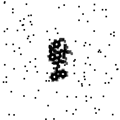 Cc1ccc(S(=O)(=O)Oc2cccc(C(CC(=O)OC(C)(C)C)C(N)C(=O)OCC3c4ccccc4-c4ccccc43)c2)cc1